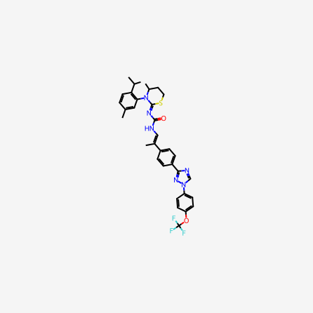 C/C(=C\NC(=O)/N=C1\SCCC(C)N1c1cc(C)ccc1C(C)C)c1ccc(-c2ncn(-c3ccc(OC(F)(F)F)cc3)n2)cc1